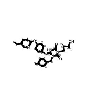 CCc1ccc(Oc2ccc(/N=c3\[nH]c(=O)n(C[C@H](C)C(=O)O)c(=O)n3Cc3ccc(C)cc3)cc2)nc1